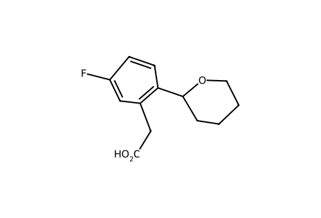 O=C(O)Cc1cc(F)ccc1C1CCCCO1